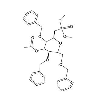 COP(=O)(C[C@H]1OC(COCc2ccccc2)[C@@H](OCc2ccccc2)C(OC(C)=O)C1OCc1ccccc1)OC